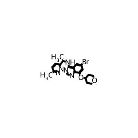 Cc1ccc([C@@H](C)Nc2ncnc3c(OC4CCOCC4)cc(Br)cc23)nn1